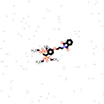 CCOP(=O)(CC(c1ccc(OCCCN2C(=O)c3ccccc3C2=O)cc1)P(=O)(OCC)OCC)OCC